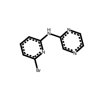 Brc1cccc(Nc2cnccn2)n1